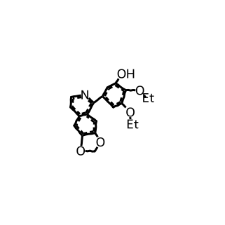 CCOc1cc(-c2nccc3cc4c(cc23)OCO4)cc(O)c1OCC